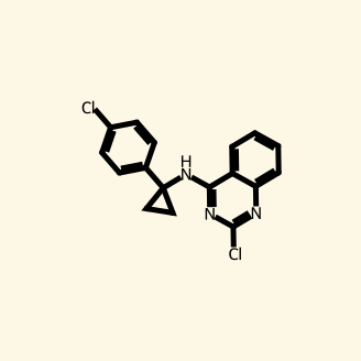 Clc1ccc(C2(Nc3nc(Cl)nc4ccccc34)CC2)cc1